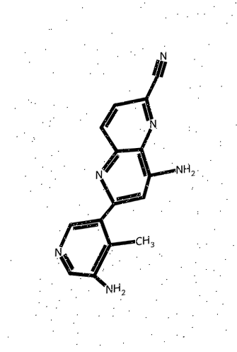 Cc1c(N)cncc1-c1cc(N)c2nc(C#N)ccc2n1